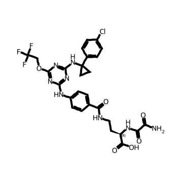 NC(=O)C(=O)N[C@H](CCNC(=O)c1ccc(Nc2nc(NC3(c4ccc(Cl)cc4)CC3)nc(OCC(F)(F)F)n2)cc1)C(=O)O